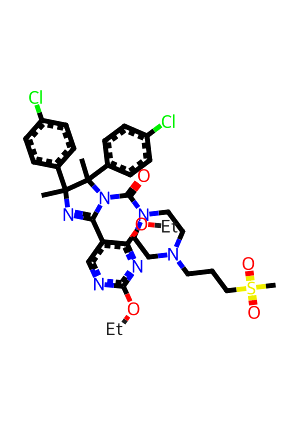 CCOc1ncc(C2=NC(C)(c3ccc(Cl)cc3)C(C)(c3ccc(Cl)cc3)N2C(=O)N2CCN(CCCS(C)(=O)=O)CC2)c(OCC)n1